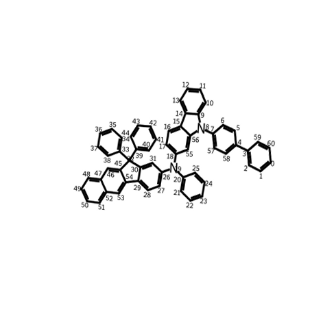 c1ccc(-c2ccc(-n3c4ccccc4c4ccc(N(c5ccccc5)c5ccc6c(c5)C(c5ccccc5)(c5ccccc5)c5cc7ccccc7cc5-6)cc43)cc2)cc1